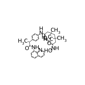 CC(C(=O)Nc1cccc2cccnc12)c1ccc(NC(=O)CC(C)(C)CC(C)(C)CC(=O)NO)cc1